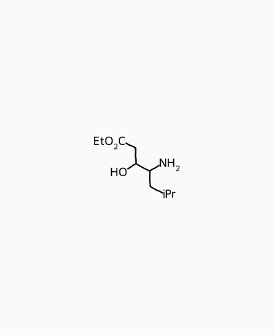 CCOC(=O)CC(O)C(N)CC(C)C